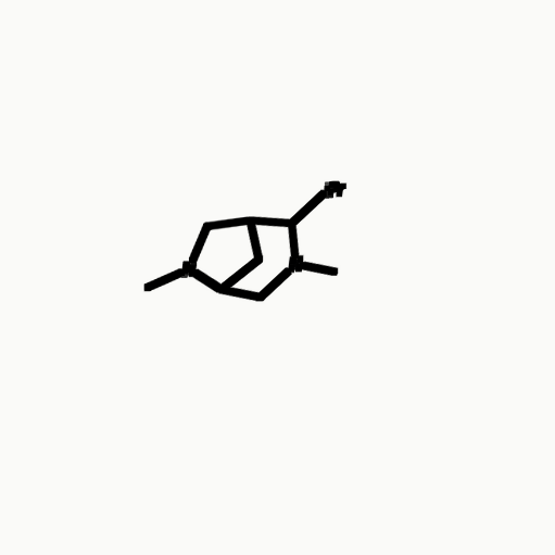 CC(C)C1C2CC(CN1C)N(C)C2